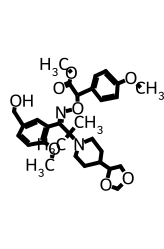 COC(=O)C(ON=C(c1cc(CO)ccc1OC)C(C)(C)N1CCC(C2COCO2)CC1)c1ccc(OC)cc1